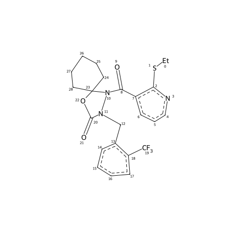 CCSc1ncccc1C(=O)N1N(Cc2ccccc2C(F)(F)F)C(=O)OC12CCCCC2